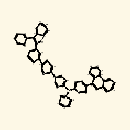 c1ccc(-c2c(-c3cccc(-c4ccc(-c5ccc(N(c6ccccc6)c6ccc(-c7cc8ccccc8c8ccccc78)cc6)cc5)cc4)c3)oc3ccccc23)cc1